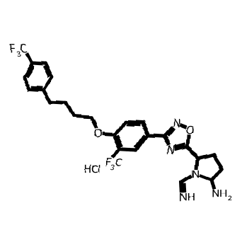 Cl.N=CN1C(N)CCC1c1nc(-c2ccc(OCCCCc3ccc(C(F)(F)F)cc3)c(C(F)(F)F)c2)no1